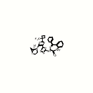 O=C1Nc2ccccc2C(c2ccccc2)=N[C@@H]1Nc1nnc(-c2nc(C3(C(F)(F)F)CCC3)sc2N2CCOC3C[C@H]32)o1